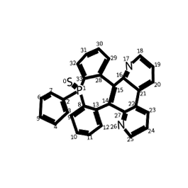 S=P1(c2ccccc2)c2ccccc2-c2c(c3ncccc3c3cccnc23)-c2ccccc21